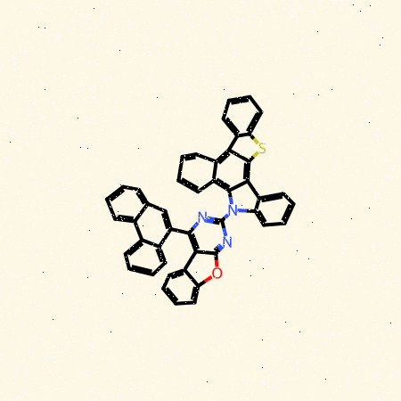 c1ccc2c(c1)cc(-c1nc(-n3c4ccccc4c4c5sc6ccccc6c5c5ccccc5c43)nc3oc4ccccc4c13)c1ccccc12